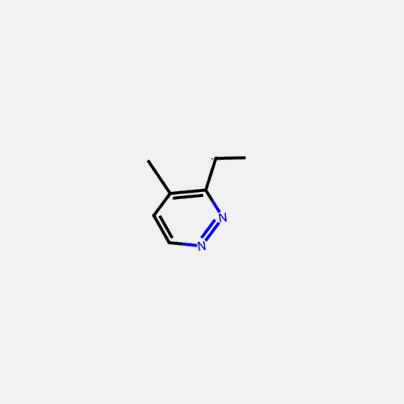 C[CH]c1nnccc1C